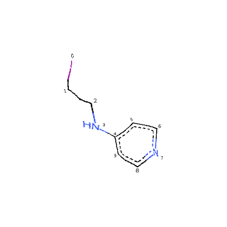 ICCNc1ccncc1